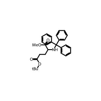 COC(=O)C(CCC(=O)OC(C)(C)C)NC(c1ccccc1)(c1ccccc1)c1ccccc1